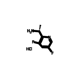 C[C@@H](N)c1ncc(F)cc1F.Cl